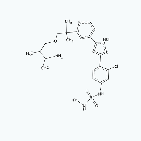 CC(C)NS(=O)(=O)Nc1ccc(-c2cc(-c3ccnc(C(C)(C)COCC(C)C(N)C=O)c3)cs2)c(Cl)c1.Cl